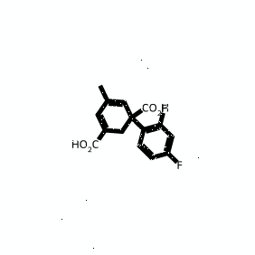 CC1=CC(C(=O)O)(c2ccc(F)cc2F)CC(C(=O)O)=C1